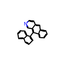 c1ccc2c(-c3c4ccccc4cc4ccncc34)cccc2c1